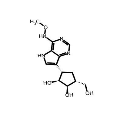 CONc1ncnc2c([C@@H]3C[C@H](CO)[C@@H](O)[C@H]3O)c[nH]c12